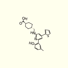 Cc1ccc(O)c(-c2cc(-c3cccs3)cc(NC[C@H]3CC[C@H](C(=O)O)CC3)n2)c1